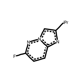 CC(C)c1cn2nc(F)ccc2n1